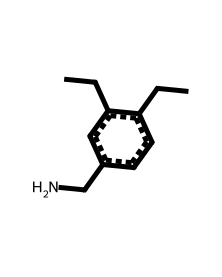 CCc1ccc(CN)cc1CC